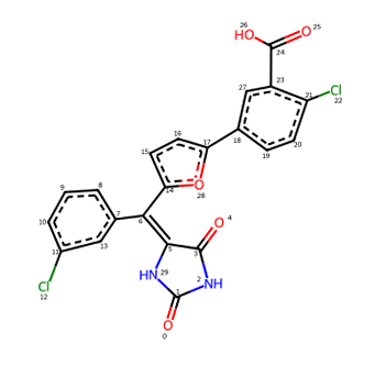 O=C1NC(=O)C(=C(c2cccc(Cl)c2)c2ccc(-c3ccc(Cl)c(C(=O)O)c3)o2)N1